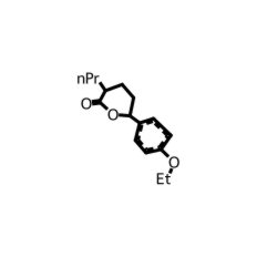 CCCC1CCC(c2ccc(OCC)cc2)OC1=O